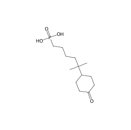 CC(C)(CCCCP(=O)(O)O)C1CCC(=O)CC1